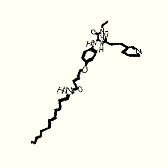 CCCCCCCCCCCCNC(=O)CCCOc1ccc(NC(NC(=O)CCc2cccnc2)C(=O)NCC)cc1